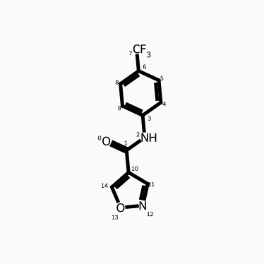 O=C(Nc1ccc(C(F)(F)F)cc1)c1cnoc1